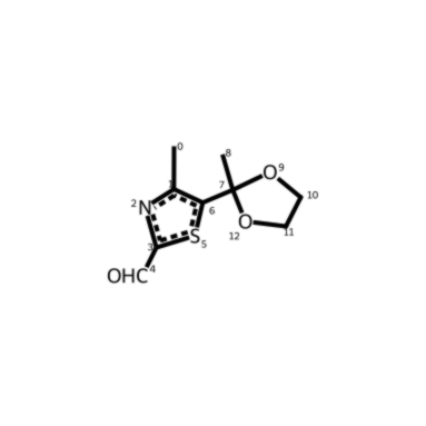 Cc1nc(C=O)sc1C1(C)OCCO1